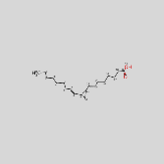 CCCCCCCC=CC1CC1C=CC=CCCCC(=O)O